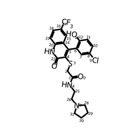 O=C(CSc1c(-c2cc(Cl)ccc2O)c2cc(C(F)(F)F)ccc2[nH]c1=O)NCCN1CCCC1